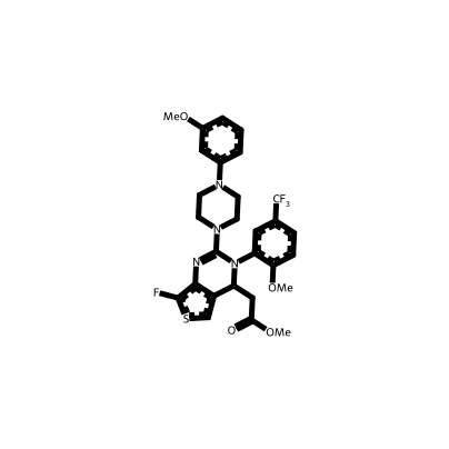 COC(=O)CC1c2csc(F)c2N=C(N2CCN(c3cccc(OC)c3)CC2)N1c1cc(C(F)(F)F)ccc1OC